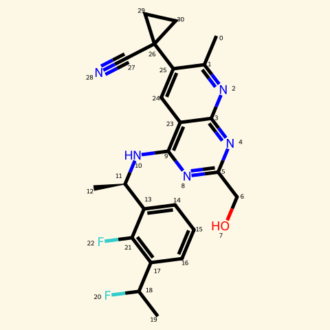 Cc1nc2nc(CO)nc(N[C@H](C)c3cccc(C(C)F)c3F)c2cc1C1(C#N)CC1